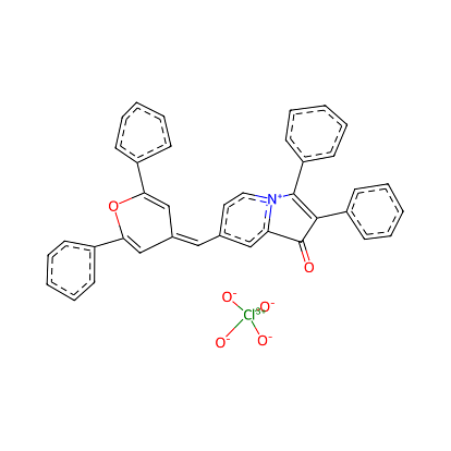 O=C1C(c2ccccc2)=C(c2ccccc2)[n+]2ccc(C=C3C=C(c4ccccc4)OC(c4ccccc4)=C3)cc21.[O-][Cl+3]([O-])([O-])[O-]